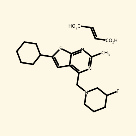 Cc1nc(CN2CCCC(F)C2)c2cc(C3CCCCC3)sc2n1.O=C(O)C=CC(=O)O